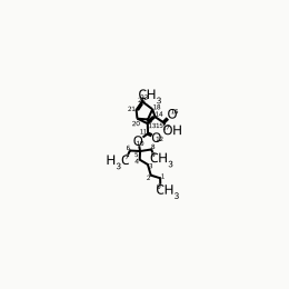 CCCCCC(CC)(CC)OC(=O)C1=C(C(=O)O)C2CC1C=C2C